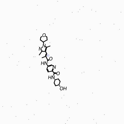 C/C(=C\c1c(C)nn(C2CCOCC2)c1C)C(=O)Nc1ccc(C(=O)N[C@H]2CC[C@H](O)CC2)nc1